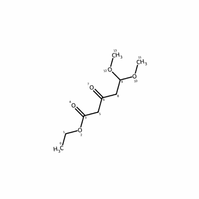 CCOC(=O)CC(=O)CC(OC)OC